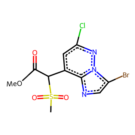 COC(=O)C(c1cc(Cl)nn2c(Br)cnc12)S(C)(=O)=O